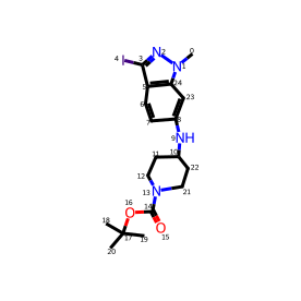 Cn1nc(I)c2ccc(NC3CCN(C(=O)OC(C)(C)C)CC3)cc21